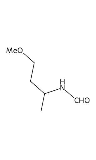 COCCC(C)NC=O